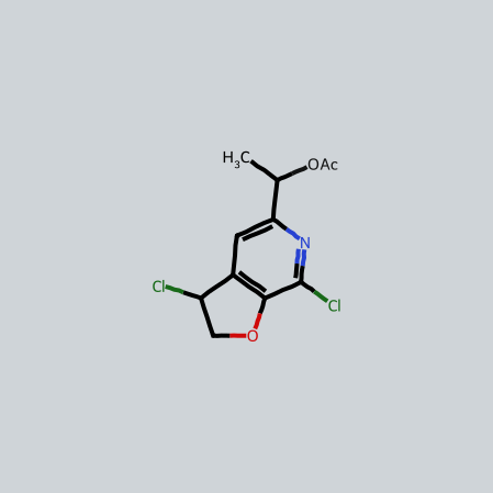 CC(=O)OC(C)c1cc2c(c(Cl)n1)OCC2Cl